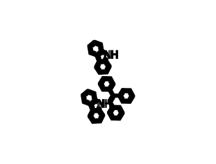 C(=C(c1ccccc1)c1ccccc1)c1ccccc1.c1ccc2c(c1)[nH]c1ccccc12.c1ccc2c(c1)[nH]c1ccccc12